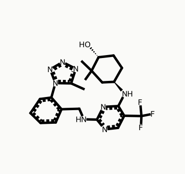 Cc1nnnn1-c1ccccc1CNc1ncc(C(F)(F)F)c(N[C@@H]2CC[C@@H](O)C(C)(C)C2)n1